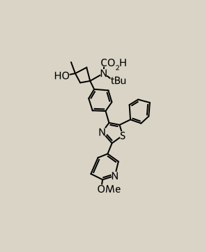 COc1ccc(-c2nc(-c3ccc(C4(N(C(=O)O)C(C)(C)C)CC(C)(O)C4)cc3)c(-c3ccccc3)s2)cn1